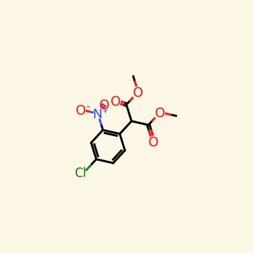 COC(=O)C(C(=O)OC)c1ccc(Cl)cc1[N+](=O)[O-]